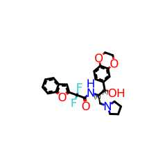 O=C(N[C@H](CN1CCCC1)[C@H](O)c1ccc2c(c1)OCCO2)C(F)(F)c1cc2ccccc2o1